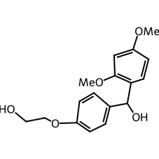 COc1ccc(C(O)c2ccc(OCCO)cc2)c(OC)c1